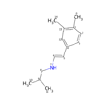 Cc1ccc(/C=C/NCC(C)C)cc1C